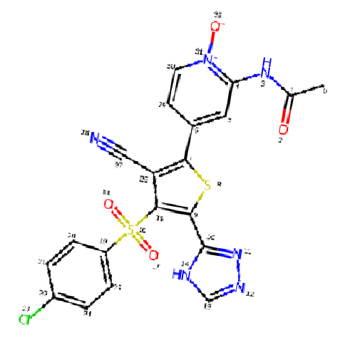 CC(=O)Nc1cc(-c2sc(-c3nnc[nH]3)c(S(=O)(=O)c3ccc(Cl)cc3)c2C#N)cc[n+]1[O-]